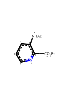 CCOC(=O)c1ncccc1NC(C)=O